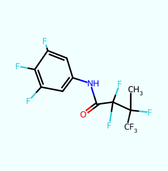 CC(F)(C(F)(F)F)C(F)(F)C(=O)Nc1cc(F)c(F)c(F)c1